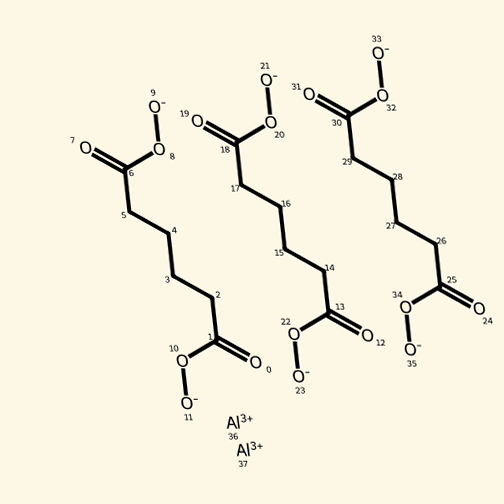 O=C(CCCCC(=O)O[O-])O[O-].O=C(CCCCC(=O)O[O-])O[O-].O=C(CCCCC(=O)O[O-])O[O-].[Al+3].[Al+3]